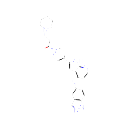 O=C(CCN1CCCCC1)N1CC=C(c2cc3c(Nc4ccc5[nH]ncc5c4)ccnc3[nH]2)CC1